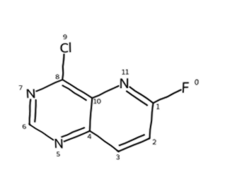 Fc1ccc2ncnc(Cl)c2n1